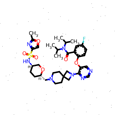 Cc1nc(S(=O)(=O)N[C@@H]2CC[C@@H](CN3CCC4(CC3)CN(c3ncncc3Oc3ccc(F)cc3C(=O)N(C(C)C)C(C)C)C4)OC2)co1